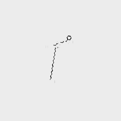 CCC=CCC=CCC=CCCCCCCCCOC(CC)C(=O)NCCOC(=O)c1ccccc1O